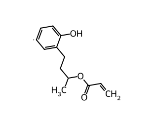 C=CC(=O)OC(C)CCc1c[c]ccc1O